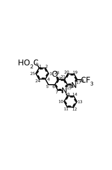 O=C(O)c1ccc(Cc2cn(-c3ccccc3)c3nc(C(F)(F)F)ccc3c2=O)cc1